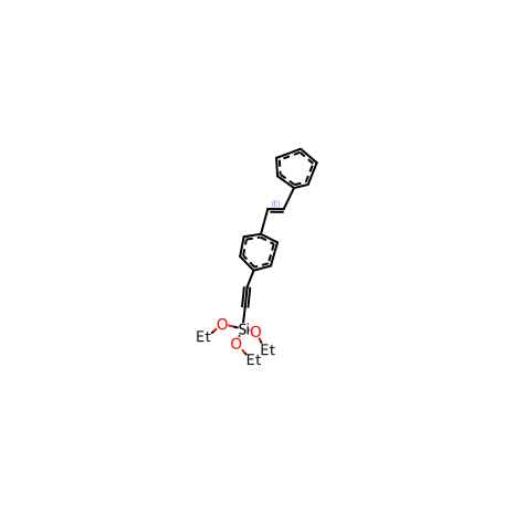 CCO[Si](C#Cc1ccc(/C=C/c2ccccc2)cc1)(OCC)OCC